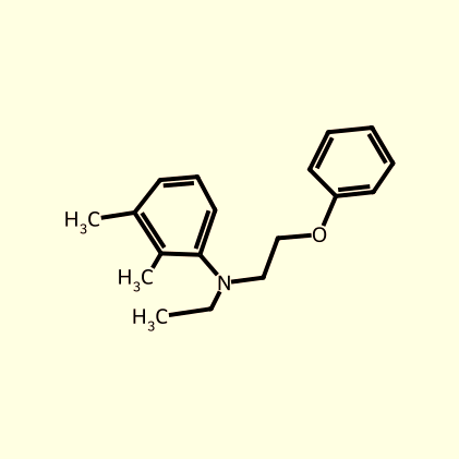 CCN(CCOc1ccccc1)c1cccc(C)c1C